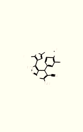 COc1ccc(C2C(C#N)=C(N)Oc3n[nH]c(-c4cc(C)sc4C)c32)cc1I